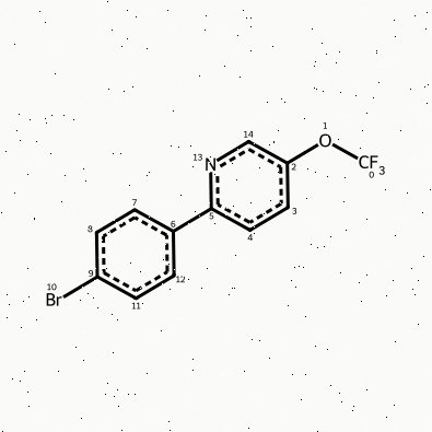 FC(F)(F)Oc1ccc(-c2ccc(Br)cc2)nc1